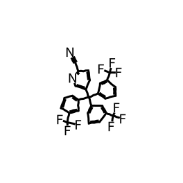 N#Cc1ccc(C(c2cccc(C(F)(F)F)c2)(c2cccc(C(F)(F)F)c2)c2cccc(C(F)(F)F)c2)cn1